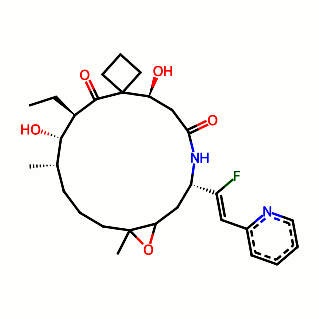 CC[C@H]1C(=O)C2(CCC2)[C@@H](O)CC(=O)N[C@H](C(F)=Cc2ccccn2)CC2OC2(C)CCC[C@H](C)[C@@H]1O